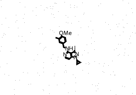 COc1ccc(CNc2nccc3c2c(I)nn3C2CC2)cc1C